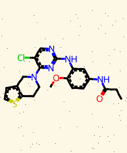 CCC(=O)Nc1ccc(OC)c(Nc2ncc(Cl)c(N3CCc4sccc4C3)n2)c1